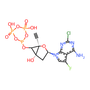 C#C[C@]12O[C@@H](n3cc(F)c4c(N)nc(Cl)nc43)C[C@@]1(O)C2OP1OP(=O)(O)OP(=O)(O)O1